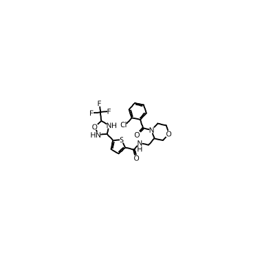 O=C(NCC1COCCN1C(=O)c1ccccc1Cl)c1ccc(C2NOC(C(F)(F)F)N2)s1